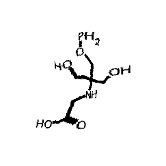 O=C(O)CNC(CO)(CO)COP